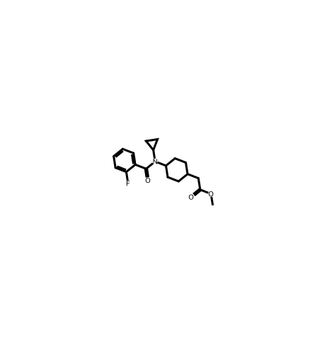 COC(=O)CC1CCC(N(C(=O)c2ccccc2F)C2CC2)CC1